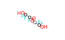 O=C(OC1CC=C(c2ccc(O)c(F)c2F)CC1)c1ccc(-c2ccc(O)c(F)c2F)cc1F